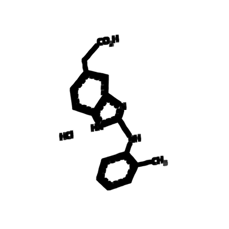 Cc1ccccc1Nc1nc2cc(CC(=O)O)ccc2[nH]1.Cl